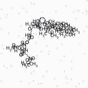 COc1c(C)c(OC2OC(C)C(O)C(OC)C2O)c(I)c(C)c1C(=O)SC1C(O)CC(ONC2C(C)OC(O[C@H]3C#C/C=C\C#C[C@]4(O)CC(=O)C(CC(C)=O)=C3/C4=C/CSSC(C)(C)CCC(=O)CCCNC(=O)OCc3ccc(NC(=O)[C@H](CCCNC(N)=O)CC(=O)[C@H](Cc4ccccc4)NC(=O)CCCCCN4C(=O)CC(C(C)(C)C)C4=O)cc3)C(OC3CC(C)C(CC(C)=O)CO3)C2O)OC1C